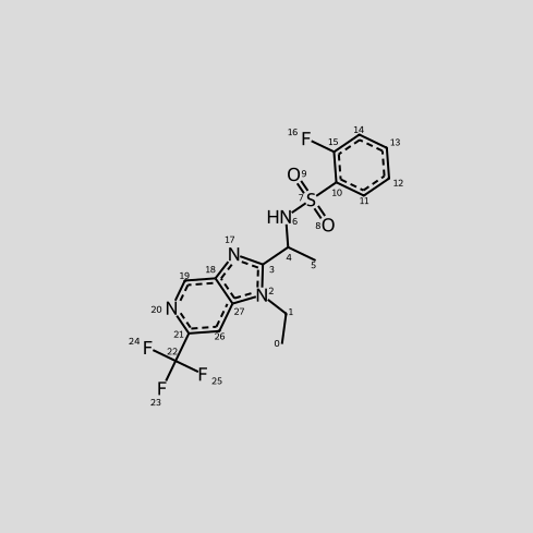 CCn1c(C(C)NS(=O)(=O)c2ccccc2F)nc2cnc(C(F)(F)F)cc21